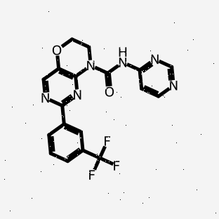 O=C(Nc1ccncn1)N1CCOc2cnc(-c3cccc(C(F)(F)F)c3)nc21